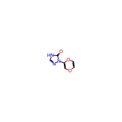 O=c1[nH]cnn1C1=COC=CO1